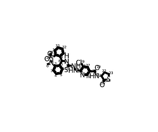 CN1c2ccccc2C(NC(=S)NNc2ncc(C(=O)N[C@@H]3CCSC3=O)cc2Cl)c2ccccc2S1(=O)=O